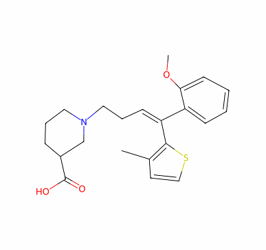 COc1ccccc1C(=CCCN1CCCC(C(=O)O)C1)c1sccc1C